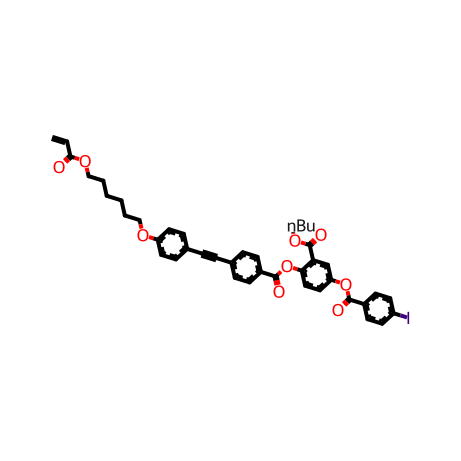 C=CC(=O)OCCCCCCOc1ccc(C#Cc2ccc(C(=O)Oc3ccc(OC(=O)c4ccc(I)cc4)cc3C(=O)OCCCC)cc2)cc1